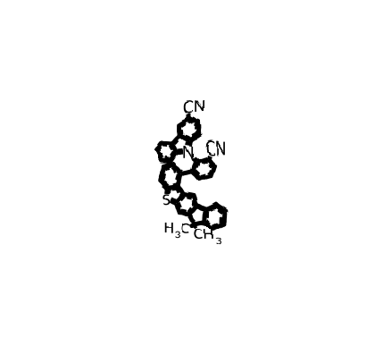 CC1(C)c2ccccc2-c2cc3c(cc21)sc1cccc(-c2cccc(C#N)c2-n2c4ccccc4c4cc(C#N)ccc42)c13